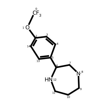 FC(F)(F)Oc1ccc(C2C[N]CCCN2)cc1